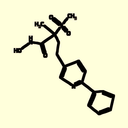 CC(CCc1ccc(-c2ccccc2)nc1)(C(=O)NO)S(C)(=O)=O